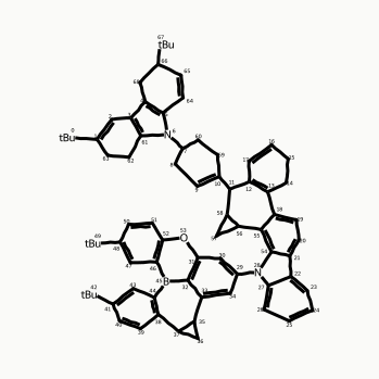 CC(C)(C)C1=Cc2c3c(n(C4CC=C(C5C6=C(CCC=C6)c6ccc7c8ccccc8n(-c8cc9c%10c(c8)C8CC8c8ccc(C(C)(C)C)cc8B%10c8cc(C(C)(C)C)ccc8O9)c7c6C6CC56)CC4)c2CC1)C=CC(C(C)(C)C)C3